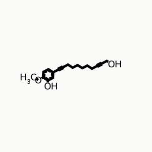 COc1ccc(C#CCCCCCCC#CCO)cc1O